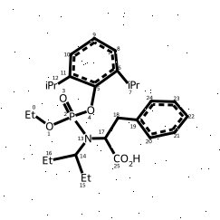 CCOP(=O)(Oc1c(C(C)C)cccc1C(C)C)N(C(CC)CC)C(Cc1ccccc1)C(=O)O